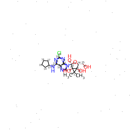 CC1(C)[C@]2(O)[C@@](O)(n3cnc4c(NC5CCCC5)nc(Cl)nc43)O[C@H](CO)[C@]12O